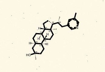 Cc1cncc(C[C@@H](C)[C@H]2CC[C@H]3[C@@H]4CC[C@@H]5C[C@](C)(O)CC[C@@H]5[C@H]4CC[C@]23C)c1